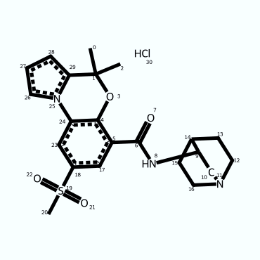 CC1(C)Oc2c(C(=O)NC3CN4CCC3CC4)cc(S(C)(=O)=O)cc2-n2cccc21.Cl